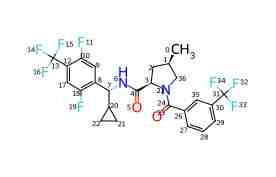 C[C@@H]1C[C@H](C(=O)N[C@@H](c2cc(F)c(C(F)(F)F)cc2F)C2CC2)N(C(=O)c2cccc(C(F)(F)F)c2)C1